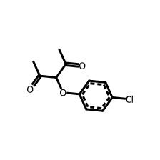 CC(=O)C(Oc1ccc(Cl)cc1)C(C)=O